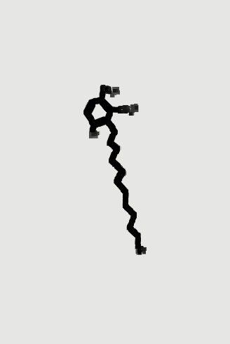 CC(C)CCCCCCCCCCCc1c(C(C)C)ccc(C(=O)O)c1C(=O)O